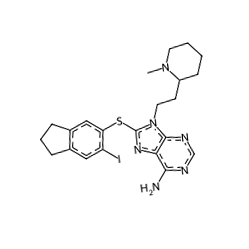 CN1CCCCC1CCn1c(Sc2cc3c(cc2I)CCC3)nc2c(N)ncnc21